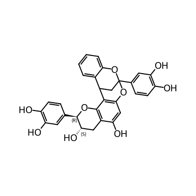 Oc1ccc([C@H]2Oc3c(c(O)cc4c3C3CC(c5ccc(O)c(O)c5)(Oc5ccccc53)O4)C[C@@H]2O)cc1O